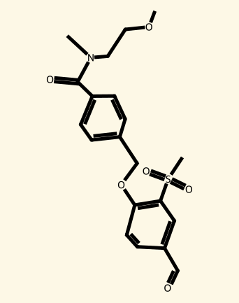 COCCN(C)C(=O)c1ccc(COc2ccc(C=O)cc2S(C)(=O)=O)cc1